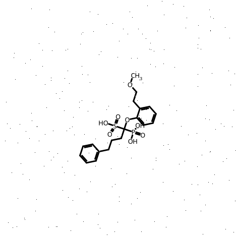 COCCc1ccccc1OC(CCCc1ccccc1)(P(=O)(O)O)S(=O)(=O)O